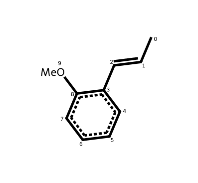 C/C=C/c1ccccc1OC